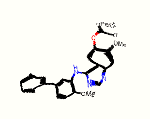 CCCCCC(CC)Oc1cc2c(Nc3cc(-c4ccccc4)ccc3OC)ncnc2cc1OC